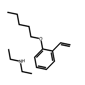 C=Cc1ccccc1OCCCCC.CCNCC